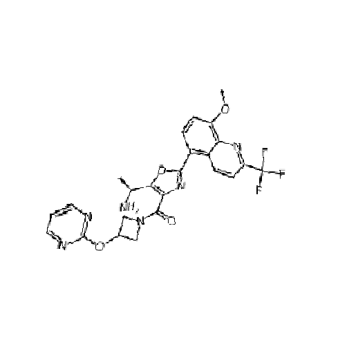 COc1ccc(-c2nc(C(=O)N3CC(Oc4ncccn4)C3)c([C@H](C)N)o2)c2ccc(C(F)(F)F)nc12